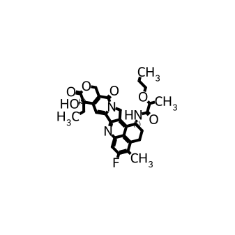 CCCOC(C)C(=O)N[C@H]1CCc2c(C)c(F)cc3nc4c(c1c23)Cn1c-4cc2c(c1=O)COC(=O)[C@]2(O)CC